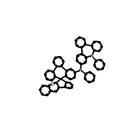 c1ccc(N(c2ccc3c(c2)-c2ccccc2-c2ccccc2C32c3ccccc3-c3cc4ccccc4cc32)c2ccc3c(c2)N(c2ccccc2)c2ccccc2-c2ccccc2-3)cc1